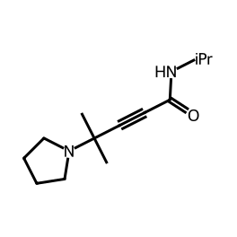 CC(C)NC(=O)C#CC(C)(C)N1CCCC1